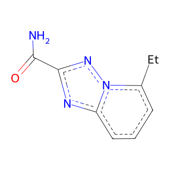 CCc1cccc2nc(C(N)=O)nn12